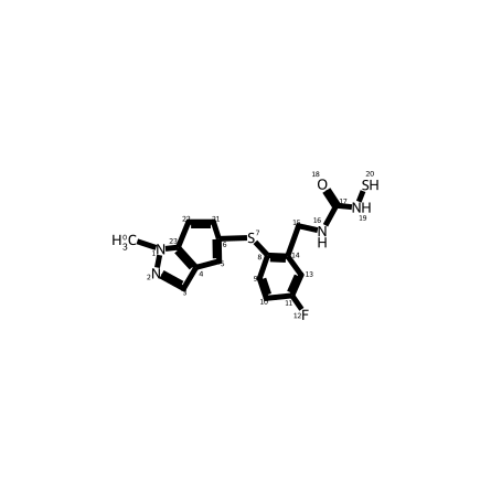 Cn1ncc2cc(Sc3ccc(F)cc3CNC(=O)NS)ccc21